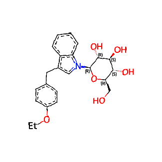 CCOc1ccc(Cc2cn([C@@H]3O[C@H](CO)[C@@H](O)[C@H](O)[C@H]3O)c3ccccc23)cc1